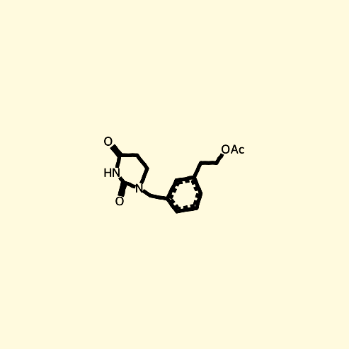 CC(=O)OCCc1cccc(CN2CCC(=O)NC2=O)c1